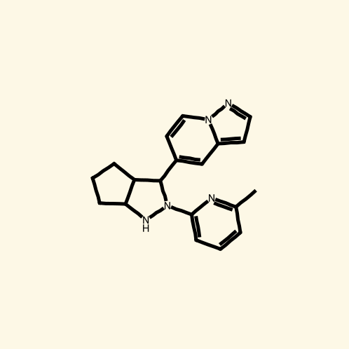 Cc1cccc(N2NC3CCCC3C2c2ccn3nccc3c2)n1